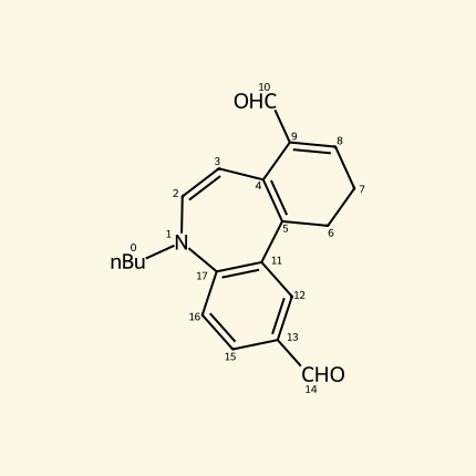 CCCCN1C=CC2=C(CCC=C2C=O)c2cc(C=O)ccc21